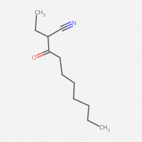 CCCCCCCC(=O)C(C#N)CC